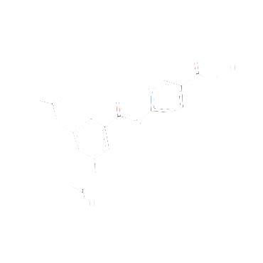 COC(=O)c1ccc(NC(=O)c2cc(OC(C)=O)cc(OC(C)=O)c2)nc1